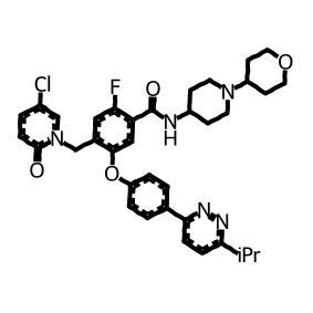 CC(C)c1ccc(-c2ccc(Oc3cc(C(=O)NC4CCN(C5CCOCC5)CC4)c(F)cc3Cn3cc(Cl)ccc3=O)cc2)nn1